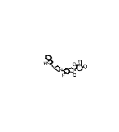 O=C1CCC(N2Cc3cc(N4CCN(Cc5cc6ccccc6[nH]5)CC4)c(F)cc3C2=O)C(=O)N1